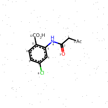 CC(=O)CC(=O)Nc1cc(Cl)ccc1C(=O)O